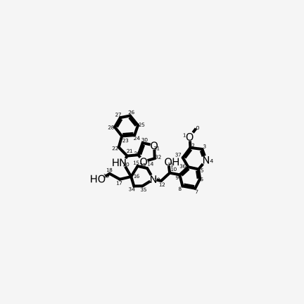 COc1cnc2cccc(C(O)CN3CCC(CCO)(NC(Cc4ccccc4)C4=COCO4)CC3)c2c1